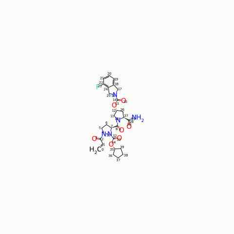 C=CC(=O)N1CC[C@@H](C(=O)N2C[C@H](OC(=O)N3Cc4cccc(F)c4C3)C[C@H]2C(N)=O)N1C(=O)OC1CCCC1